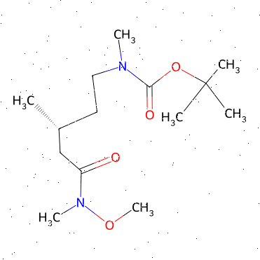 CON(C)C(=O)C[C@H](C)CCN(C)C(=O)OC(C)(C)C